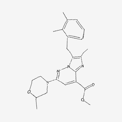 COC(=O)c1cc(N2CCOC(C)C2)nn2c(Cc3cccc(C)c3C)c(C)nc12